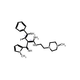 CN1CCN(CCN/C(N)=C(C(=N)c2cccn2C)/C(F)=C(\N)c2ccccc2)CC1